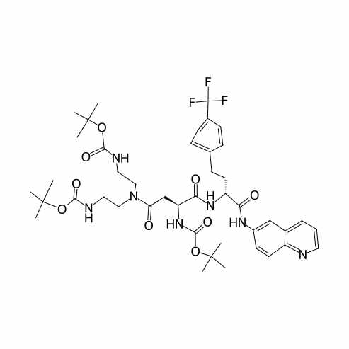 CC(C)(C)OC(=O)NCCN(CCNC(=O)OC(C)(C)C)C(=O)C[C@H](NC(=O)OC(C)(C)C)C(=O)N[C@H](CCc1ccc(C(F)(F)F)cc1)C(=O)Nc1ccc2ncccc2c1